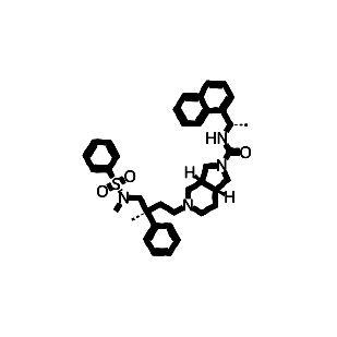 C[C@H](NC(=O)N1C[C@H]2CN(CC[C@](C)(CN(C)S(=O)(=O)c3ccccc3)c3ccccc3)CC[C@H]2C1)c1cccc2ccccc12